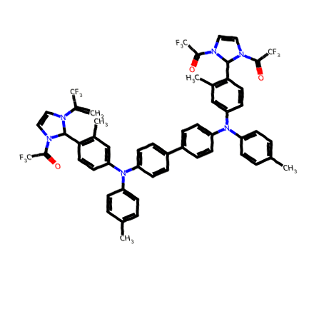 C=C(N1C=CN(C(=O)C(F)(F)F)C1c1ccc(N(c2ccc(C)cc2)c2ccc(-c3ccc(N(c4ccc(C)cc4)c4ccc(C5N(C(=O)C(F)(F)F)C=CN5C(=O)C(F)(F)F)c(C)c4)cc3)cc2)cc1C)C(F)(F)F